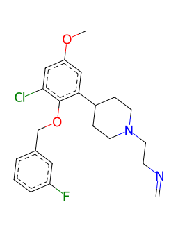 C=NCCN1CCC(c2cc(OC)cc(Cl)c2OCc2cccc(F)c2)CC1